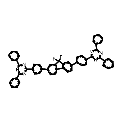 FC1(F)c2cc(-c3ccc(-c4nc(-c5ccccc5)nc(-c5ccccc5)n4)cc3)ccc2-c2ccc(-c3ccc(-c4nc(-c5ccccc5)nc(-c5ccccc5)n4)cc3)cc21